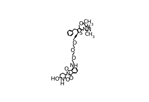 Cc1nnc2n1-c1sc(C#CCOCCOCCOCCNc3cccc4c3C(=O)N(C3CCC(O)NC3=O)C4=O)c(Cc3ccccc3)c1CO[C@H]2C